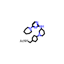 CC(=O)NCC1CCC(N2CCCC(Nc3nccc(N4CCCCCC4)n3)C2)CC1